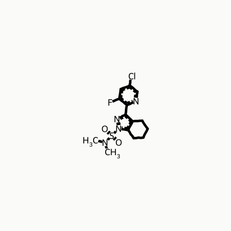 CN(C)S(=O)(=O)n1nc(-c2ncc(Cl)cc2F)c2c1CCCC2